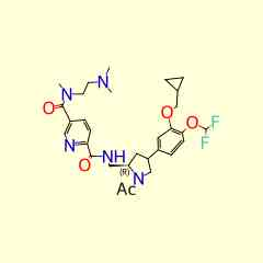 CC(=O)N1CC(c2ccc(OC(F)F)c(OCC3CC3)c2)C[C@@H]1CNC(=O)c1ccc(C(=O)N(C)CCN(C)C)cn1